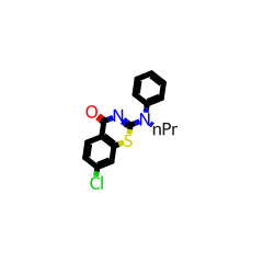 CCCN(c1ccccc1)c1nc(=O)c2ccc(Cl)cc2s1